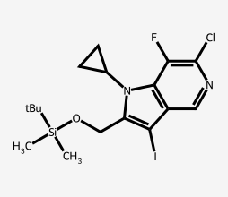 CC(C)(C)[Si](C)(C)OCc1c(I)c2cnc(Cl)c(F)c2n1C1CC1